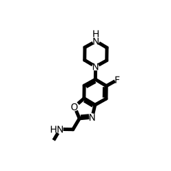 CNCc1nc2cc(F)c(N3CCNCC3)cc2o1